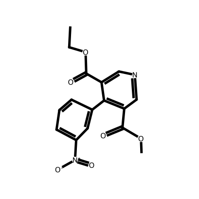 CCOC(=O)c1cncc(C(=O)OC)c1-c1cccc([N+](=O)[O-])c1